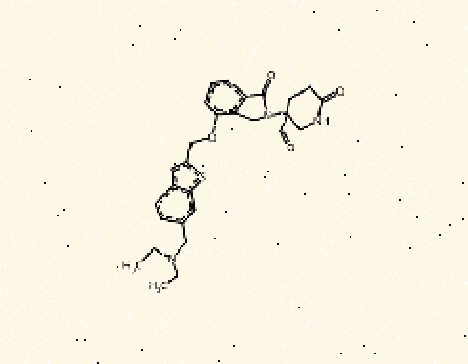 CCN(CC)Cc1ccc2cc(COc3cccc4c3CN(C3(C=O)CCC(=O)NC3)C4=O)sc2c1